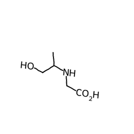 CC(CO)NCC(=O)O